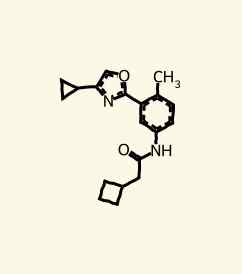 Cc1ccc(NC(=O)CC2CCC2)cc1-c1nc(C2CC2)co1